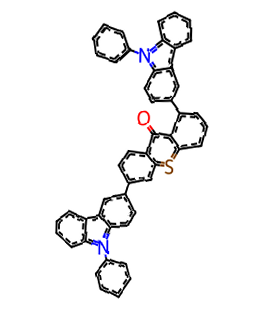 O=c1c2ccc(-c3ccc4c(c3)c3ccccc3n4-c3ccccc3)cc2sc2cccc(-c3ccc4c(c3)c3ccccc3n4-c3ccccc3)c12